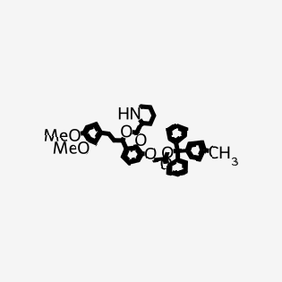 COc1ccc(CCC(OC(=O)C2CCCCN2)c2cccc(OCC(=O)OC(c3ccccc3)(c3ccccc3)c3ccc(C)cc3)c2)cc1OC